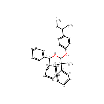 CCC(C)c1ccc(OC(OC(c2ccccc2)c2ccccc2)C(C)(C)c2ccccc2)cc1